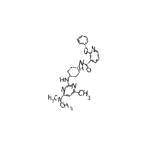 Cc1cc(N(C)C)nc(NC2CCC(NC(=O)c3cccnc3Oc3ccccc3)CC2)n1